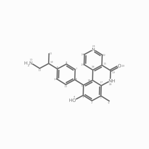 Cc1cc(O)c(-c2ccc(C(C)CN)cc2)c2c1[nH]c(=O)c1cnccc12